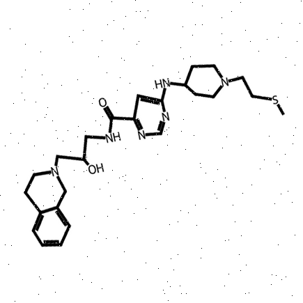 CSCCN1CCC(Nc2cc(C(=O)NCC(O)CN3CCc4ccccc4C3)ncn2)CC1